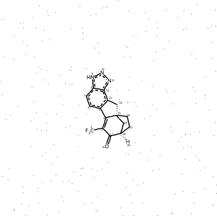 O=C1C(C(F)(F)F)=C2c3ccc4[nH]nnc4c3C[C@@]23CC[C@@H]1C3